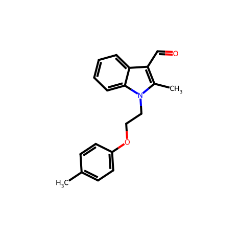 Cc1ccc(OCCn2c(C)c(C=O)c3ccccc32)cc1